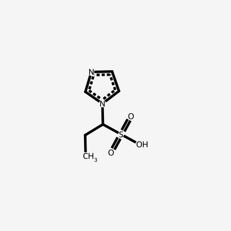 CCC(n1ccnc1)S(=O)(=O)O